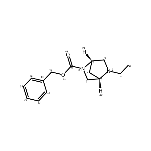 CCN1C[C@@H]2C[C@H]1CN2C(=O)OCc1ccccc1